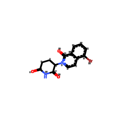 O=C1CCC(n2ccc3c(Br)cccc3c2=O)C(=O)N1